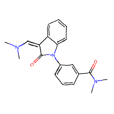 CN(C)C=C1C(=O)N(c2cccc(C(=O)N(C)C)c2)c2ccccc21